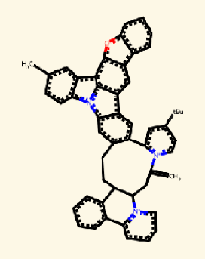 C=C1CC2C(CCc3cc4c(cc3-c3cc(C(C)(C)C)cc[n+]31)c1cc3c5ccccc5oc3c3c5cc(C)ccc5n4c13)c1ccccc1-c1cccc[n+]12